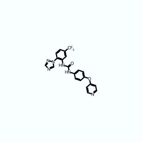 O=C(Nc1ccc(Oc2ccncc2)cc1)Nc1cc(C(F)(F)F)ccc1-n1cncn1